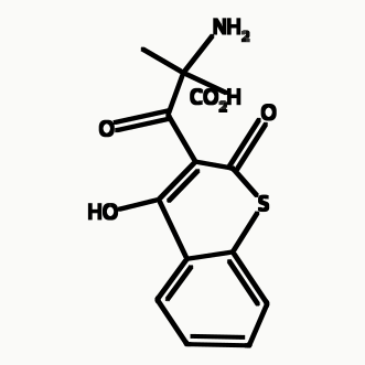 CC(N)(C(=O)O)C(=O)c1c(O)c2ccccc2sc1=O